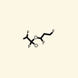 CC(F)C([O])(F)OC(F)CCF